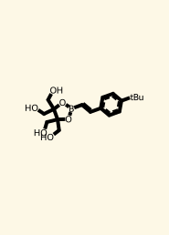 CC(C)(C)c1ccc(/C=C/B2OC(CO)(CO)C(CO)(CO)O2)cc1